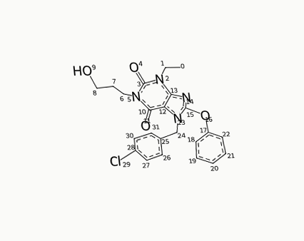 CCn1c(=O)n(CCCO)c(=O)c2c1nc(Oc1ccccc1)n2Cc1ccc(Cl)cc1